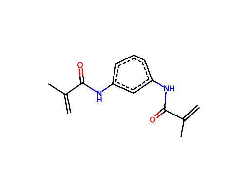 C=C(C)C(=O)Nc1cccc(NC(=O)C(=C)C)c1